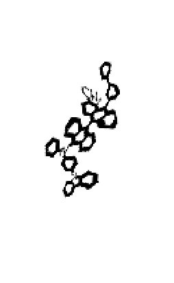 Cc1ccc2c(-c3c4ccccc4c(N(c4ccccc4)c4ccc(-n5c6ccccc6c6ccccc65)cc4)c4ccccc34)c3ccccc3c(-c3cccc(-c4ccccc4)c3)c2c1